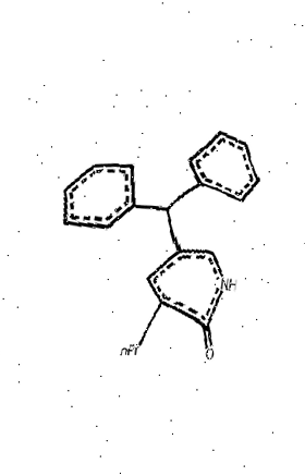 [CH2]CCc1cc(C(c2ccccc2)c2ccccc2)c[nH]c1=O